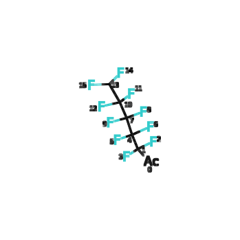 CC(=O)C(F)(F)C(F)(F)C(F)(F)C(F)(F)C(F)F